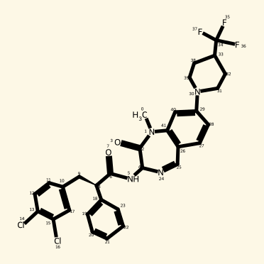 CN1C(=O)C(NC(=O)[C@H](Cc2ccc(Cl)c(Cl)c2)c2ccccc2)N=Cc2ccc(N3CCC(C(F)(F)F)CC3)cc21